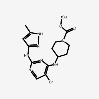 Cc1cc(Nc2ncc(Br)c(NC3CCN(C(=O)OC(C)(C)C)CC3)n2)n[nH]1